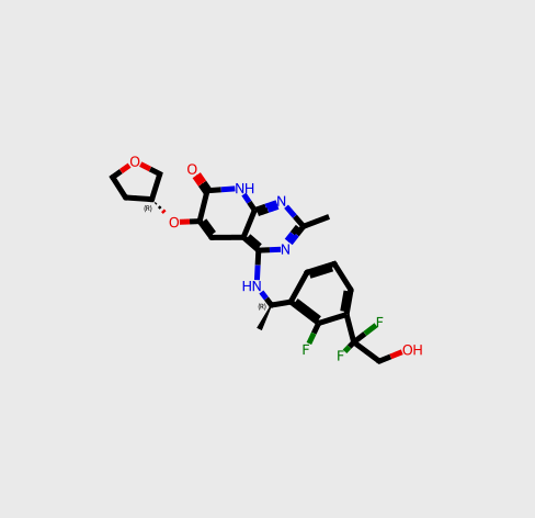 Cc1nc(N[C@H](C)c2cccc(C(F)(F)CO)c2F)c2cc(O[C@@H]3CCOC3)c(=O)[nH]c2n1